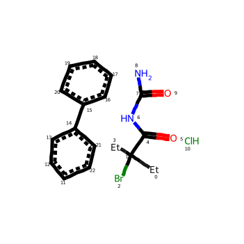 CCC(Br)(CC)C(=O)NC(N)=O.Cl.c1ccc(-c2ccccc2)cc1